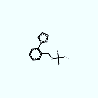 CC(F)(F)OCc1ccccc1-n1cccn1